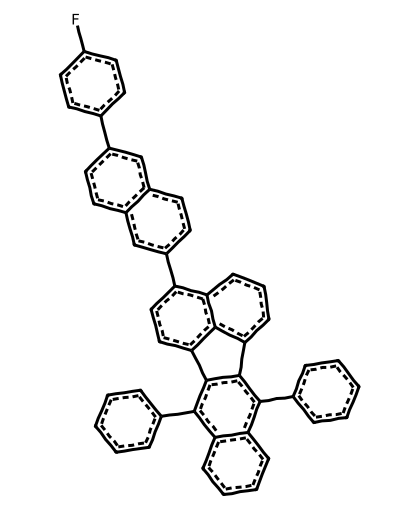 Fc1ccc(-c2ccc3cc(-c4ccc5c6c(cccc46)-c4c-5c(-c5ccccc5)c5ccccc5c4-c4ccccc4)ccc3c2)cc1